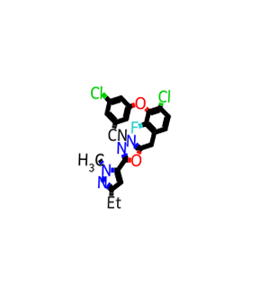 CCc1cc(-c2nnc(Cc3ccc(Cl)c(Oc4cc(Cl)cc(C#N)c4)c3F)o2)n(C)n1